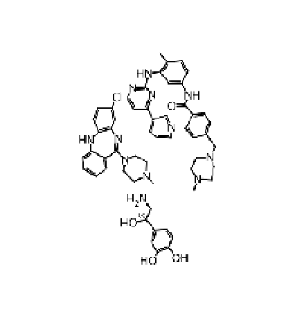 CN1CCN(C2=Nc3cc(Cl)ccc3Nc3ccccc32)CC1.Cc1ccc(NC(=O)c2ccc(CN3CCN(C)CC3)cc2)cc1Nc1nccc(-c2cccnc2)n1.NC[C@H](O)c1ccc(O)c(O)c1